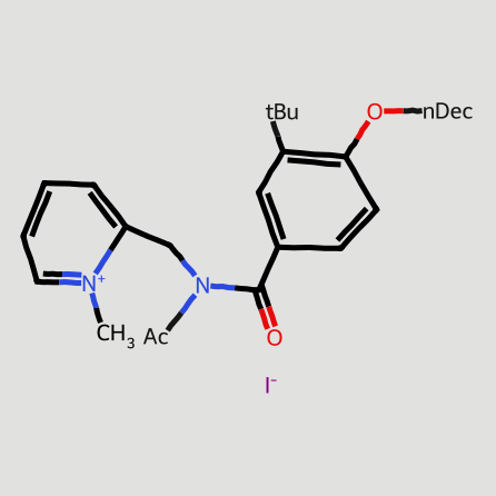 CCCCCCCCCCOc1ccc(C(=O)N(Cc2cccc[n+]2C)C(C)=O)cc1C(C)(C)C.[I-]